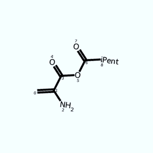 C=C(N)C(=O)OC(=O)C(C)CCC